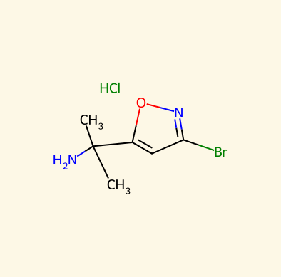 CC(C)(N)c1cc(Br)no1.Cl